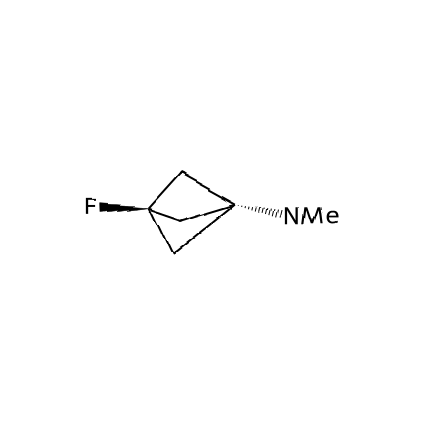 CN[C@]12C[C@@](F)(C1)C2